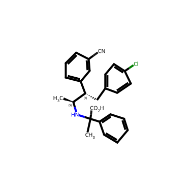 C[C@H](NC(C)(C(=O)O)c1ccccc1)[C@@H](Cc1ccc(Cl)cc1)c1cccc(C#N)c1